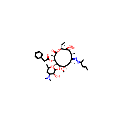 C/C=C/C(C)=N/N=C1\[C@H](C)C[C@@](C)(OC)[C@H](OC2OC(C)CC(N(C)C)C2O)[C@@H](C)[C@H](OC(=O)Cc2ccccc2)[C@@H](C)C(=O)O[C@H](CC)[C@@](C)(O)[C@H](O)[C@H]1C